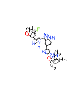 COc1cc(F)cc(-c2cncc3[nH]c(-c4n[nH]c5ccc(-c6cncc(NC(=O)C(C)(C)C)c6)cc45)cc23)c1